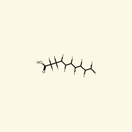 O=C(O)C(I)(I)C(I)(I)C(I)C(I)C(I)C(I)C(I)C(I)C(I)I